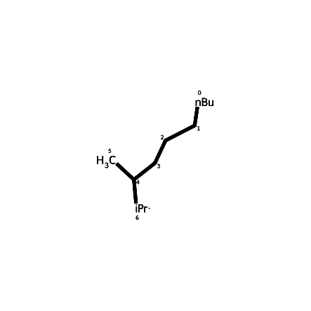 CCCCCCCC(C)[C](C)C